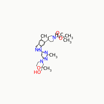 Cc1nc(N2CCOC(C)(CO)C2)cc(-n2ncc3cc(C)c(C4CCN(C(=O)OC(C)(C)C)CC4)cc32)n1